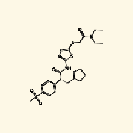 CCN(CC)C(=O)CSc1cnc(NC(=O)[C@H](CC2CCCC2)c2ccc(S(C)(=O)=O)cc2)s1